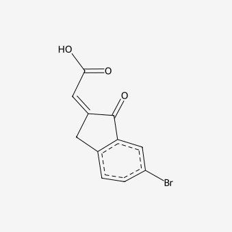 O=C(O)C=C1Cc2ccc(Br)cc2C1=O